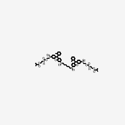 C=C(C)C(=O)OCCNC(=O)OCC/[N+](CC)=c1/ccc2c(-c3ccccc3C)c3ccc(N(CC)CCCCCCN(CC)c4ccc5c(-c6ccccc6C)c6cc/c(=[N+](\CC)CCOC(=O)NCCOC(=O)C(=C)C)cc-6oc5c4)cc3oc-2c1